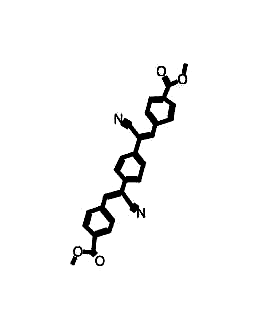 COC(=O)c1ccc(/C=C(\C#N)c2ccc(/C(C#N)=C/c3ccc(C(=O)OC)cc3)cc2)cc1